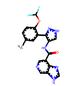 Cc1ccc(OC(F)F)c(-c2n[nH]cc2NC(=O)c2cncc3[nH]cnc23)c1